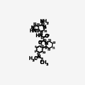 CCN(C)c1cccc([C@@H]2CCCCN2C(=O)C(=O)Nc2cnc(N)c3cn[nH]c23)c1